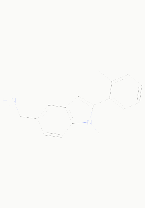 Cc1ccccc1-c1cc2cc(CN)ccc2n1C